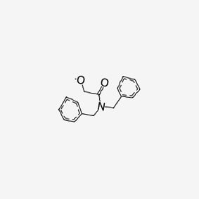 [O]CC(=O)N(Cc1ccccc1)Cc1ccccc1